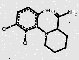 NC(=O)C1CCCCN1c1c(O)ccc(Cl)c1Cl